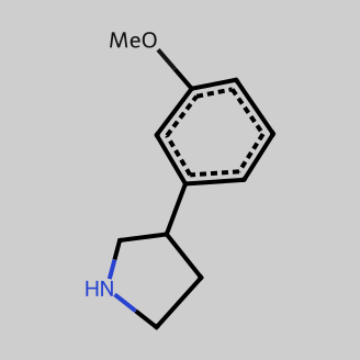 COc1cccc(C2CCNC2)c1